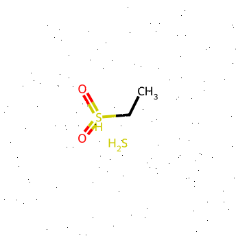 CC[SH](=O)=O.S